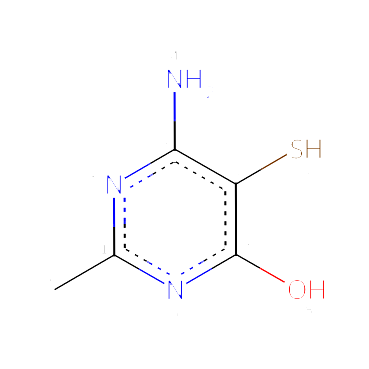 Cc1nc(N)c(S)c(O)n1